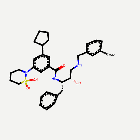 COc1cccc(CNC[C@H](O)[C@H](Cc2ccccc2)NC(=O)c2cc(C3CCCC3)cc(N3CCCCS3(O)O)c2)c1